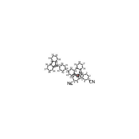 N#Cc1ccc2c(c1)c1cc(C#N)ccc1n2-c1ccccc1-c1cc(-c2ccc(-n3c4ccccc4c4ccccc43)cc2)ccc1C#N